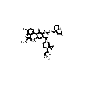 C=CC(=O)N1CCN(c2nc(OCC34CCCN3CC(F)C4)nc3c(F)c(-c4ccc(F)c5sc(N)c(C#N)c45)c(C(F)(F)F)cc23)CC12CC2